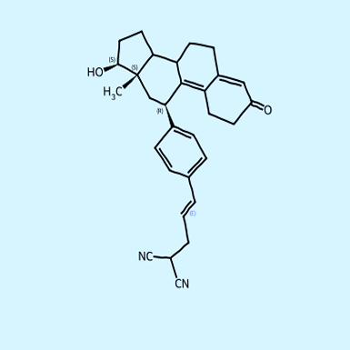 C[C@]12C[C@H](c3ccc(/C=C/CC(C#N)C#N)cc3)C3=C4CCC(=O)C=C4CCC3C1CC[C@@H]2O